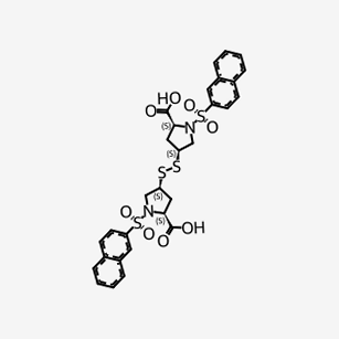 O=C(O)[C@@H]1C[C@H](SS[C@H]2C[C@@H](C(=O)O)N(S(=O)(=O)c3ccc4ccccc4c3)C2)CN1S(=O)(=O)c1ccc2ccccc2c1